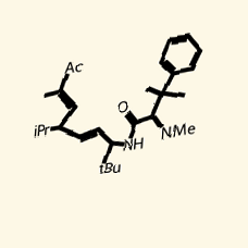 CNC(C(=O)NC(/C=C/C(/C=C(\C)C(C)=O)C(C)C)C(C)(C)C)C(C)(C)c1ccccc1